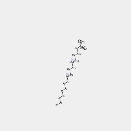 CCCCCCCC/C=C/CC/C=C/CCCC(=O)O